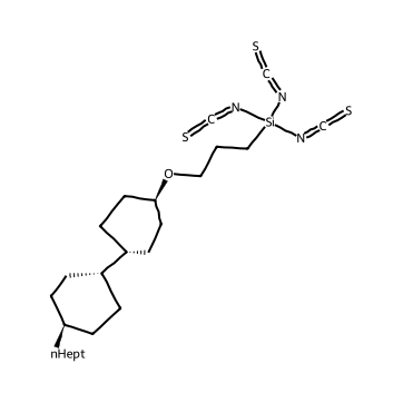 CCCCCCC[C@H]1CC[C@H]([C@H]2CC[C@H](OCCC[Si](N=C=S)(N=C=S)N=C=S)CC2)CC1